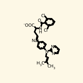 CC(C)=CCN(c1ccc(/C=C/CC(NC(=O)c2c(Cl)cccc2Cl)C(=O)[O-])cc1)c1ncccn1.[Na+]